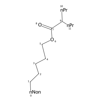 CCCCCCCCCCCCCCOC(=O)C(CCC)CCC